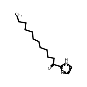 CCCCCCCCCCCC(=O)c1ncc[nH]1